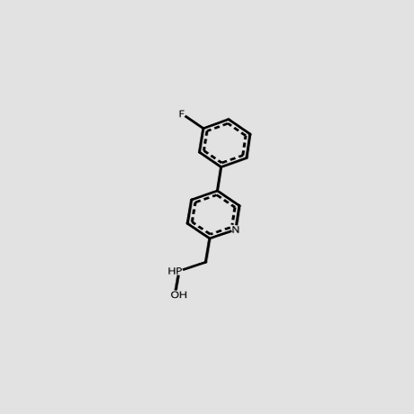 OPCc1ccc(-c2cccc(F)c2)cn1